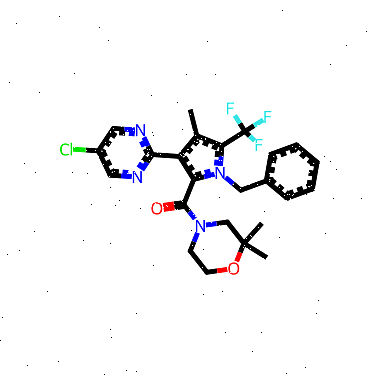 Cc1c(-c2ncc(Cl)cn2)c(C(=O)N2CCOC(C)(C)C2)n(Cc2ccccc2)c1C(F)(F)F